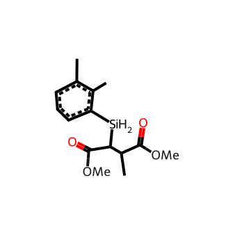 COC(=O)C(C)C([SiH2]c1cccc(C)c1C)C(=O)OC